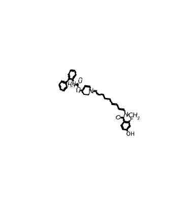 CN(CCCCCCCCCN1CCC(OC(=O)Nc2ccccc2-c2ccccc2)CC1)C(=O)c1ccc(O)cc1F